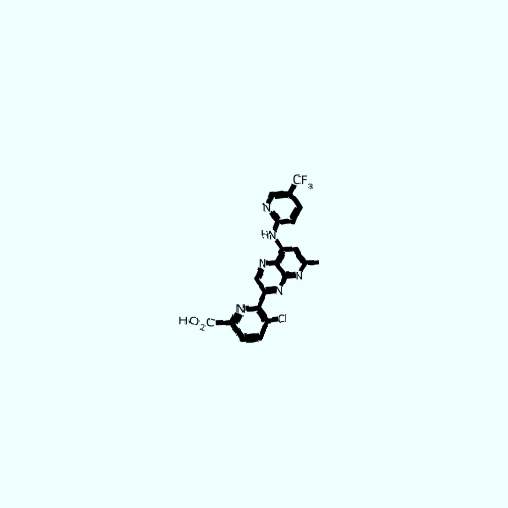 Cc1cc(Nc2ccc(C(F)(F)F)cn2)c2ncc(-c3nc(C(=O)O)ccc3Cl)nc2n1